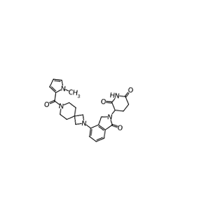 Cn1cccc1C(=O)N1CCC2(CC1)CN(c1cccc3c1CN(C1CCC(=O)NC1=O)C3=O)C2